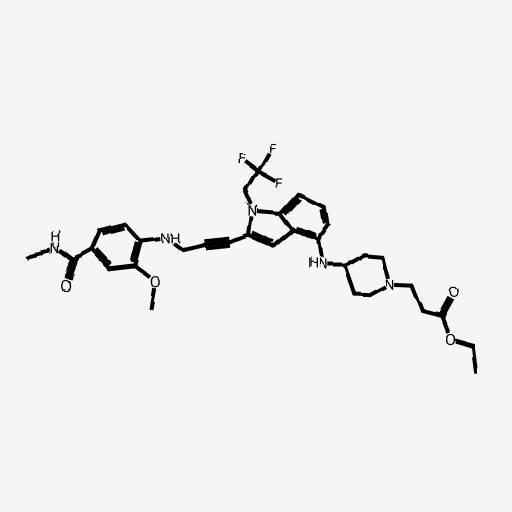 CCOC(=O)CCN1CCC(Nc2cccc3c2cc(C#CCNc2ccc(C(=O)NC)cc2OC)n3CC(F)(F)F)CC1